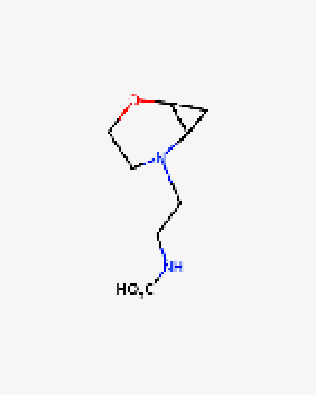 O=C(O)NCCN1CCOC2CC21